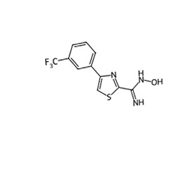 N=C(NO)c1nc(-c2cccc(C(F)(F)F)c2)cs1